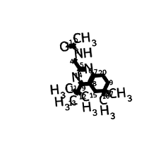 CC(=O)NCc1nc2c(c(C(C)(C)C)n1)CC(C)(C)CC2